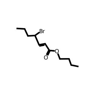 CCCCOC(=O)C=CC(Br)CCC